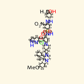 COc1ccc(CN2CCN(C3CC4(CCN(c5ccc(C(=O)NS(=O)(=O)c6ccc(NC[C@H]7CC[C@](C)(O)CC7)c([N+](=O)[O-])c6)c(Oc6cc7cc[nH]c7nc6Cl)c5)CC4)C3)C(c3ccccc3C(C)C)C2)cc1